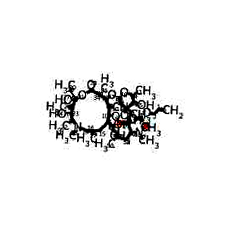 C=CCOC(=O)O[C@H]1[C@H](O[C@H]2C([C@@H](C)O)C[C@@H](C)CN(C)[C@H](C)[C@@H](O)[C@](C)(O)[C@@H](CC)OC(=O)[C@H](C)[C@@H](O[C@H]3C[C@@](C)(OC)[C@@H](O)[C@H](C)O3)[C@@H]2C)O[C@H](C)C[C@@H]1N(C)C